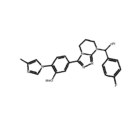 CCCC(c1ccc(F)cc1)N1CCCn2c(-c3ccc(-n4cnc(C)c4)c(OC)c3)nnc21